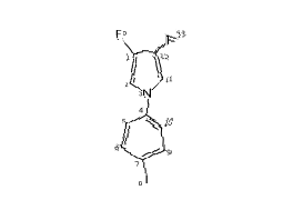 Fc1cn(-c2ccc(I)cc2)cc1F